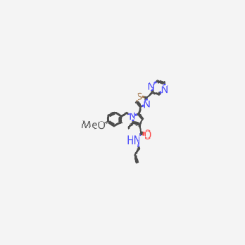 C=CCNC(=O)c1cc(-c2csc(-c3cnccn3)n2)n(Cc2ccc(OC)cc2)c1C